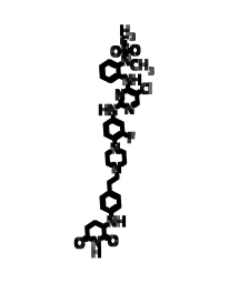 CN(c1ccccc1Nc1nc(Nc2ccc(N3CCN(CCc4ccc(NC5CCC(=O)NC5=O)cc4)CC3)c(F)c2)ncc1Cl)S(C)(=O)=O